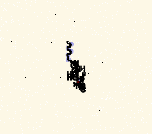 CC/C=C\C/C=C\C/C=C\C/C=C\C/C=C\CCCC(=O)N(C)CCNC(=O)C[C@H](O)C[C@H](O)/C=C/c1c(-c2ccc(F)cc2)nc(N(C)S(C)(=O)=O)nc1C(C)C